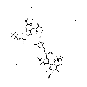 C=CC[C@@H]1O[C@@H]([C@H](/C=C/C(O)CC[C@H]2CC(=C)C(CC[C@H]3C[C@@H](C)C(=C)[C@@H](CC4O[C@H](C[C@H](C)CO[Si](C)(C)C(C)(C)C)[C@H](C)[C@H]4CC(=O)OC)O3)O2)O[Si](C)(C)C(C)(C)C)[C@@H](O[Si](C)(C)C(C)(C)C)[C@@H](C)[C@H]1C